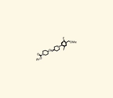 COCc1cc(F)c(N2CCC(=NOC3CCN(C(=O)OC(C)C)CC3)CC2)cc1F